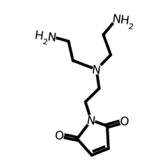 NCCN(CCN)CCN1C(=O)C=CC1=O